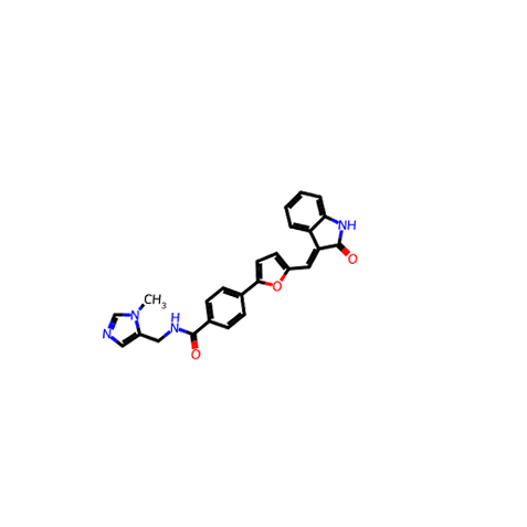 Cn1cncc1CNC(=O)c1ccc(-c2ccc(/C=C3/C(=O)Nc4ccccc43)o2)cc1